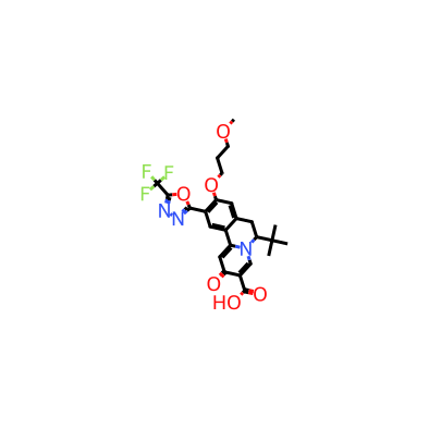 COCCCOc1cc2c(cc1-c1nnc(C(F)(F)F)o1)-c1cc(=O)c(C(=O)O)cn1C(C(C)(C)C)C2